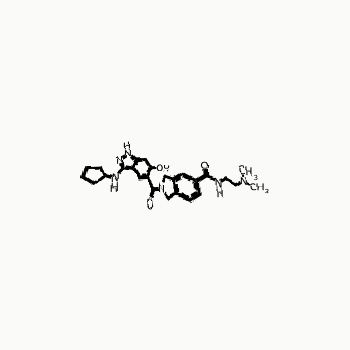 CN(C)CCNC(=O)c1ccc2c(c1)CN(C(=O)c1cc3c(NC4CCCC4)n[nH]c3cc1O)C2